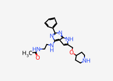 CC(=O)NCCNc1nc(-c2ccccc2)nc2[nH]c(COC3CCNCC3)cc12